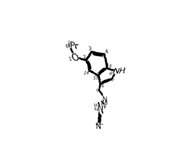 CC(C)Oc1ccc2[nH]cc(CN=[N+]=[N-])c2c1